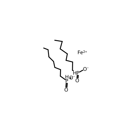 CCCCCCC[PH](=O)[O-].CCCCCCC[PH](=O)[O-].[Fe+2]